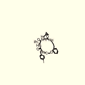 CC(C)[C@H]1NC(=O)[C@@H](Cc2ccc(I)cc2)NCCOc2ccccc2CCCNC(=O)[C@H](CC2CC2)NC1=O